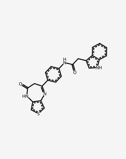 O=C(Cc1c[nH]c2ccccc12)Nc1ccc(C2=Nc3cscc3NC(=O)C2)cc1